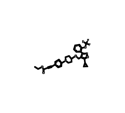 CCOC(=O)C#Cc1ccc(N2CCC(OCc3c(-c4ccccc4OC(F)(F)F)noc3C3CC3)CC2)cc1